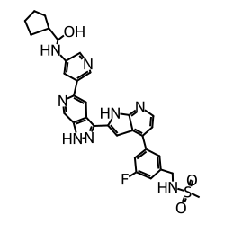 CS(=O)(=O)NCc1cc(F)cc(-c2ccnc3[nH]c(-c4n[nH]c5cnc(-c6cncc(NC(O)C7CCCC7)c6)cc45)cc23)c1